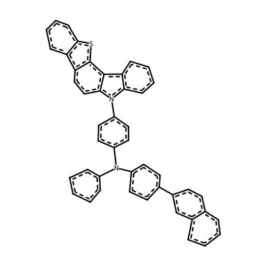 c1ccc(N(c2ccc(-c3ccc4ccccc4c3)cc2)c2ccc(-n3c4ccccc4c4c5sc6ccccc6c5ccc43)cc2)cc1